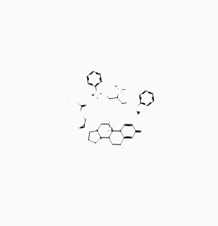 CCCCC(=O)OCC(=O)[C@H]1[C@H](C)C[C@H]2[C@@H]3C[C@H](F)C4=CC(=O)C=C[C@]4(C)[C@@]3(F)[C@@H](O)C[C@@]21C.CN(C)C(CSS(=O)(=O)c1ccccc1)CSS(=O)(=O)c1ccccc1